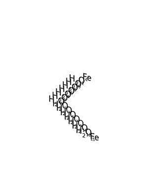 O.O.O.O.O.O.O.O.O.O.O.O.O.O.[Fe].[Fe]